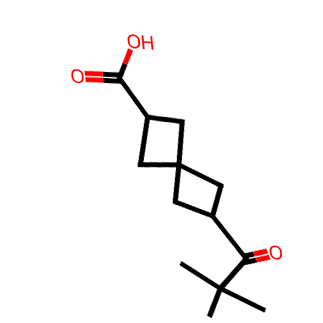 CC(C)(C)C(=O)C1CC2(CC(C(=O)O)C2)C1